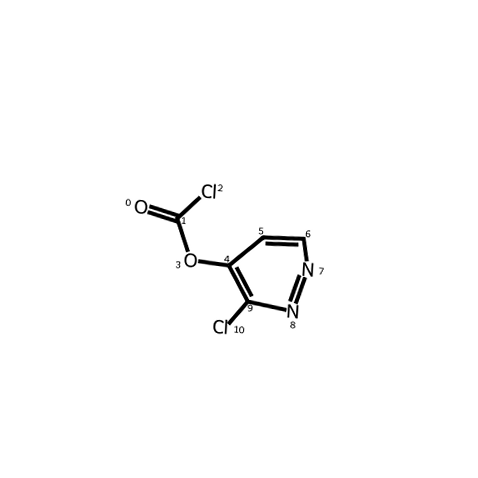 O=C(Cl)Oc1ccnnc1Cl